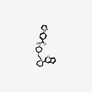 O=C(N[C@H]1CC[C@H](CCN2CCCCC2c2coc3cccc-3c2)CC1)c1ccc(-n2cccn2)cc1